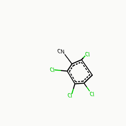 [C-]#[N+]c1c(Cl)cc(Cl)c(Cl)c1Cl